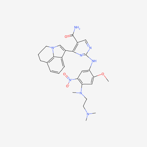 COc1cc(N(C)CCN(C)C)c([N+](=O)[O-])cc1Nc1ncc(C(N)=O)c(-c2cn3c4c(cccc24)CCC3)n1